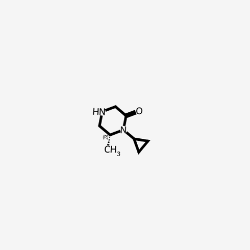 C[C@@H]1CNCC(=O)N1C1CC1